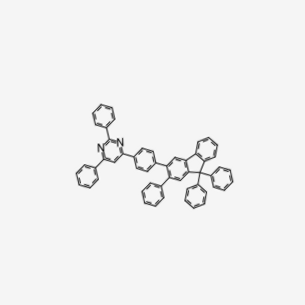 c1ccc(-c2cc(-c3ccc(-c4cc5c(cc4-c4ccccc4)C(c4ccccc4)(c4ccccc4)c4ccccc4-5)cc3)nc(-c3ccccc3)n2)cc1